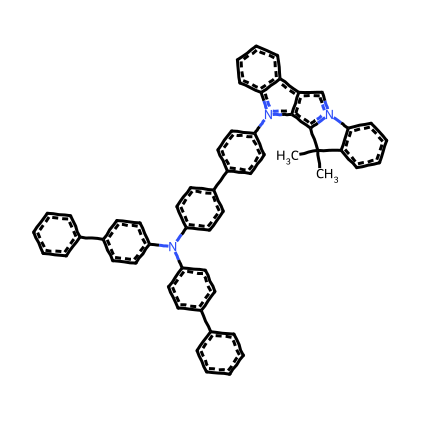 CC1(C)c2ccccc2-n2cc3c4ccccc4n(-c4ccc(-c5ccc(N(c6ccc(-c7ccccc7)cc6)c6ccc(-c7ccccc7)cc6)cc5)cc4)c3c21